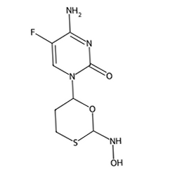 Nc1nc(=O)n(C2CCSC(NO)O2)cc1F